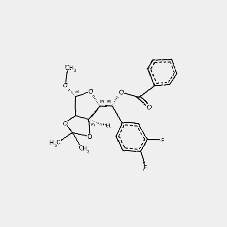 CO[C@@H]1O[C@H]([C@H](OC(=O)c2ccccc2)c2ccc(F)c(F)c2)[C@H]2OC(C)(C)OC12